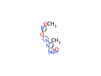 COc1ccc(OC2CCN(c3nc4cn[nH]c(=O)c4cc3C)CC2)cn1